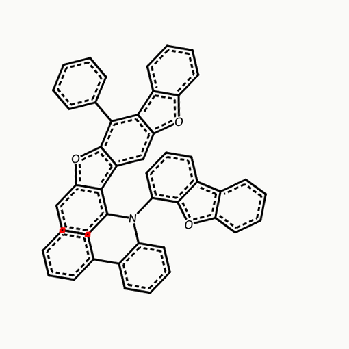 c1ccc(-c2ccccc2N(c2cccc3c2oc2ccccc23)c2cccc3oc4c(-c5ccccc5)c5c(cc4c23)oc2ccccc25)cc1